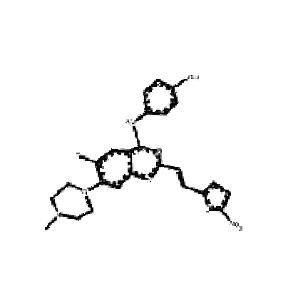 CN1CCN(c2cc3nc(C=Cc4ccc([N+](=O)[O-])o4)nc(Nc4ccc(O)cc4)c3cc2F)CC1